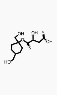 OCC1CCC(CO)(OC(=S)C(O)CC(O)=S)CC1